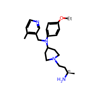 CCOc1ccc(N(Cc2cnccc2C)C2CCN(CC[C@@H](C)N)CC2)cc1